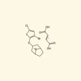 CN1C2CCC1CC(Oc1sc(Cl)cc1Br)C2.O=C(O)/C=C/C(=O)O